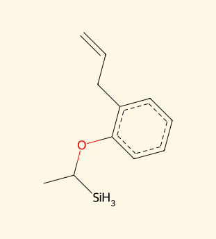 C=CCc1ccccc1OC(C)[SiH3]